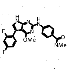 CNC(=O)c1ccc(Nc2nc(OC)c3c(-c4ccc(F)cc4F)c[nH]c3n2)cc1